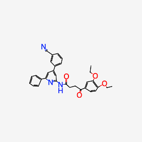 CCOc1ccc(C(=O)CCC(=O)Nc2cc(-c3cccc(C#N)c3)cc(-c3ccccc3)n2)cc1OCC